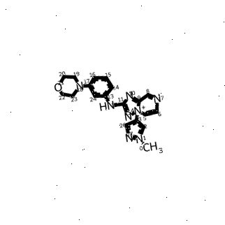 Cn1cc([N+]23C=CN=CC2=NC(Nc2cccc(N4CCOCC4)c2)=N3)cn1